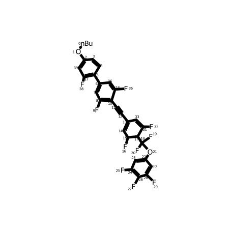 CCCCOc1ccc(-c2cc(F)c(C#CC3=CC(F)C(C(F)(F)Oc4cc(F)c(F)c(F)c4)C(F)=C3)c(F)c2)c(F)c1